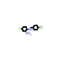 Nc1cc(F)ccc1NCc1ccc(Cl)cc1